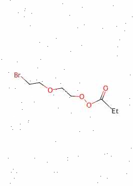 CCC(=O)OOCCOCCBr